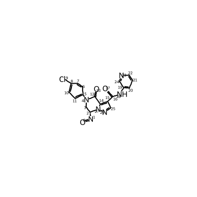 O=N[C@H]1CN(c2ccc(Cl)cc2)C(=O)c2c(C(=O)Nc3cccnc3)cnn21